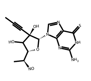 CC#C[C@@]1(O)C(O)[C@@H]([C@H](C)N=O)O[C@H]1n1cnc2c(=S)[nH]c(N)nc21